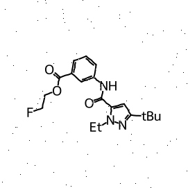 CCn1nc(C(C)(C)C)cc1C(=O)Nc1cccc(C(=O)OCCF)c1